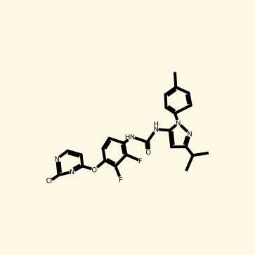 Cc1ccc(-n2nc(C(C)C)cc2NC(=O)Nc2ccc(Oc3ccnc(Cl)n3)c(F)c2F)cc1